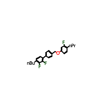 CCCCc1ccc(-c2ccc(COc3ccc(CCC)c(F)c3)cc2)c(F)c1F